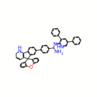 NC(/N=c1\[nH]cc(-c2ccccc2)cc1-c1ccccc1)c1ccc(-c2ccc3c(c2)C2(C4=C3NCC=C4)c3ccccc3Oc3ccccc32)cc1